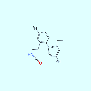 N=C=O.[2H]c1ccc(-c2ccc([2H])cc2CC)c(CC)c1